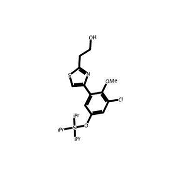 COc1c(Cl)cc(O[Si](C(C)C)(C(C)C)C(C)C)cc1-c1csc(CCO)n1